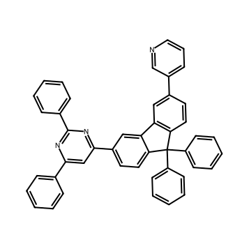 c1ccc(-c2cc(-c3ccc4c(c3)-c3cc(-c5cccnc5)ccc3C4(c3ccccc3)c3ccccc3)nc(-c3ccccc3)n2)cc1